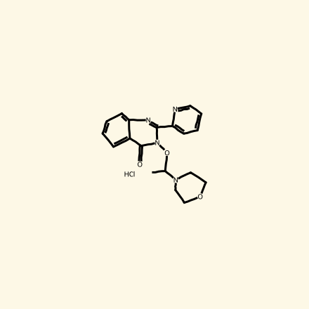 CC(On1c(-c2ccccn2)nc2ccccc2c1=O)N1CCOCC1.Cl